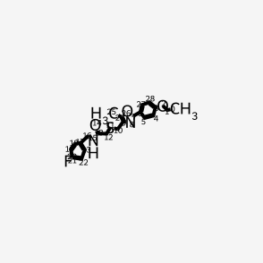 CCOc1ccc(-c2nc(CSCC(=O)NCc3ccc(F)cc3)c(C)o2)cc1